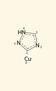 [Cu].c1nc[nH]n1